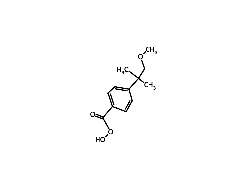 COCC(C)(C)c1ccc(C(=O)OO)cc1